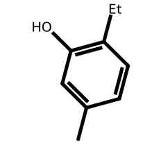 CCc1ccc(C)cc1O